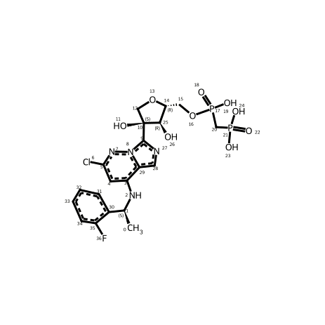 C[C@H](Nc1cc(Cl)nn2c([C@]3(O)CO[C@H](COP(=O)(O)CP(=O)(O)O)[C@H]3O)ncc12)c1ccccc1F